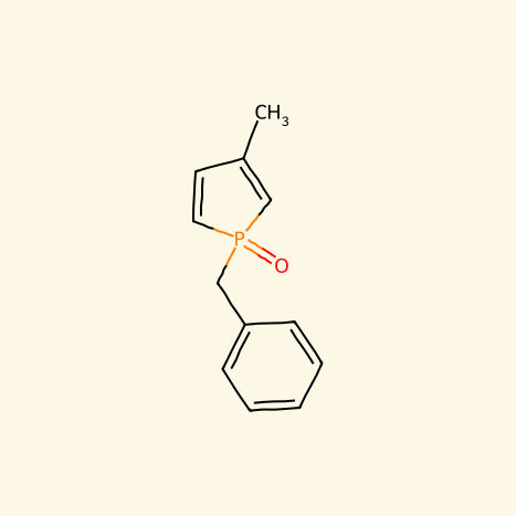 CC1=CP(=O)(Cc2ccccc2)C=C1